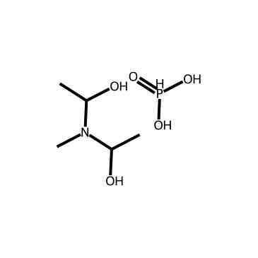 CC(O)N(C)C(C)O.O=[PH](O)O